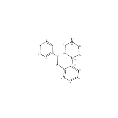 [c]1cccc(CCc2ncccc2N2CCNCC2)c1